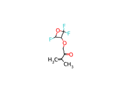 C=C(C)C(=O)COC1C(F)OC1(F)F